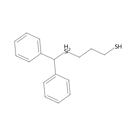 SCCC[SiH2]C(c1ccccc1)c1ccccc1